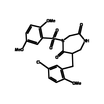 COc1ccc(OC)c(S(=O)(=O)N2CC(=O)NCC(Cc3cc(Cl)ccc3OC)C2=O)c1